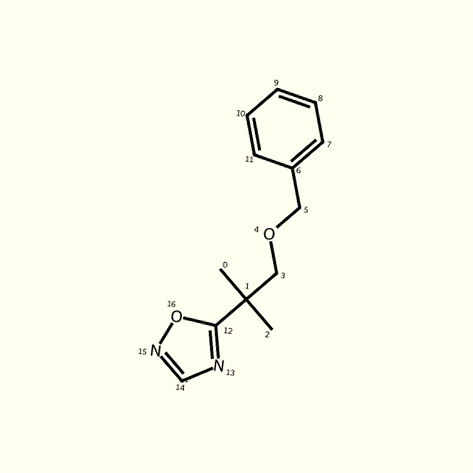 CC(C)(COCc1ccccc1)c1n[c]no1